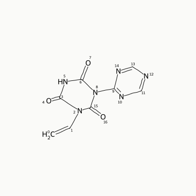 C=Cn1c(=O)[nH]c(=O)n(-c2ncncn2)c1=O